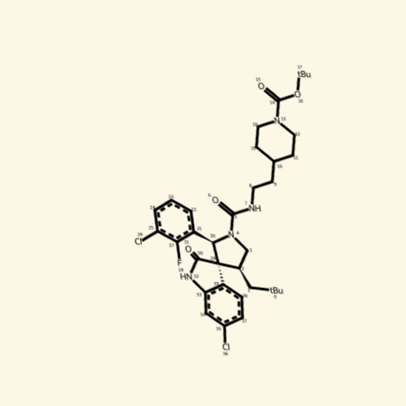 CC(C)(C)C[C@@H]1CN(C(=O)NCCC2CCN(C(=O)OC(C)(C)C)CC2)[C@H](c2cccc(Cl)c2F)[C@]12C(=O)Nc1cc(Cl)ccc12